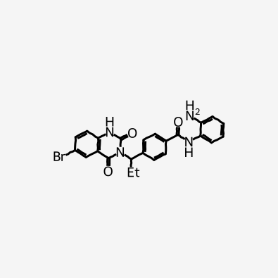 CCC(c1ccc(C(=O)Nc2ccccc2N)cc1)n1c(=O)[nH]c2ccc(Br)cc2c1=O